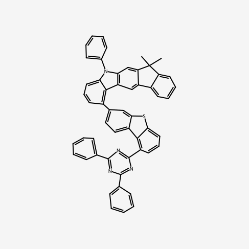 CC1(C)c2ccccc2-c2cc3c4c(-c5ccc6c(c5)sc5cccc(-c7nc(-c8ccccc8)nc(-c8ccccc8)n7)c56)cccc4n(-c4ccccc4)c3cc21